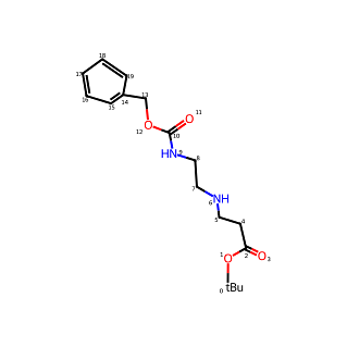 CC(C)(C)OC(=O)CCNCCNC(=O)OCc1ccccc1